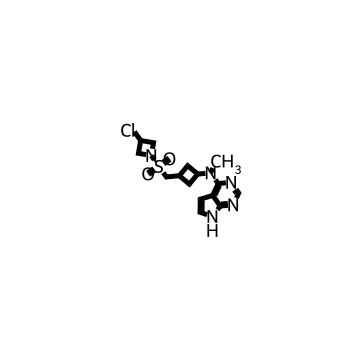 CN(c1ncnc2[nH]ccc12)C1CC(CS(=O)(=O)N2CC(Cl)C2)C1